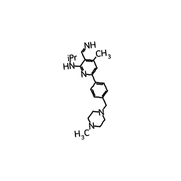 Cc1cc(-c2ccc(CN3CCN(C)CC3)cc2)nc(NC(C)C)c1C=N